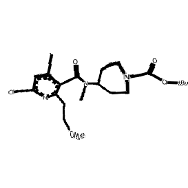 COCCc1nc(Cl)cc(C)c1C(=O)N(C)C1CCN(C(=O)OC(C)(C)C)CC1